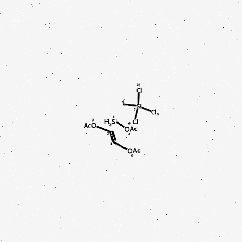 CC(=O)OC=COC(C)=O.CC(=O)O[SiH3].C[Si](Cl)(Cl)Cl